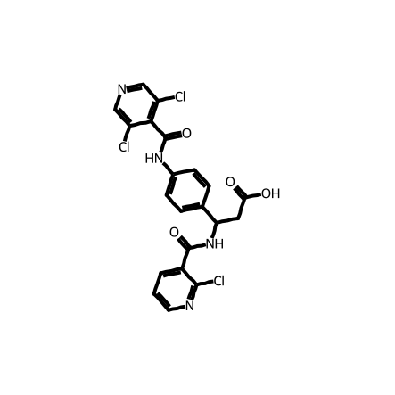 O=C(O)CC(NC(=O)c1cccnc1Cl)c1ccc(NC(=O)c2c(Cl)cncc2Cl)cc1